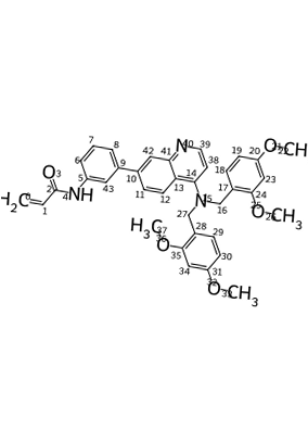 C=CC(=O)Nc1cccc(-c2ccc3c(N(Cc4ccc(OC)cc4OC)Cc4ccc(OC)cc4OC)ccnc3c2)c1